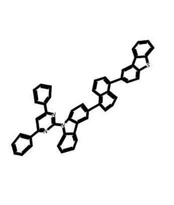 c1ccc(-c2cc(-c3ccccc3)nc(-n3c4ccccc4c4cc(-c5cccc6c(-c7ccc8sc9ccccc9c8c7)cccc56)ccc43)n2)cc1